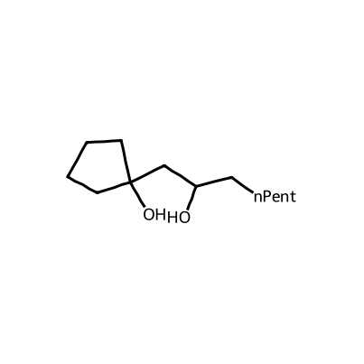 CCCCCCC(O)CC1(O)CCCC1